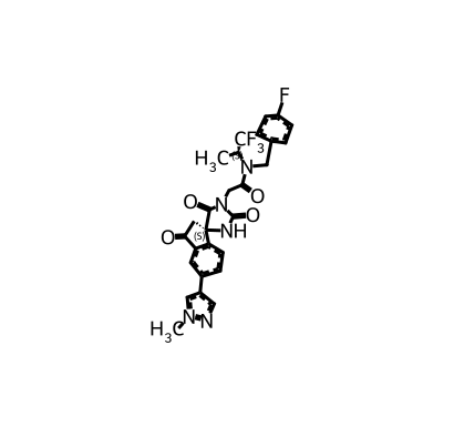 C[C@H](N(Cc1ccc(F)cc1)C(=O)CN1C(=O)N[C@]2(CC(=O)c3cc(-c4cnn(C)c4)ccc32)C1=O)C(F)(F)F